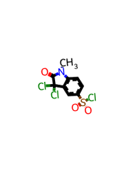 CN1C(=O)C(Cl)(Cl)c2cc(S(=O)(=O)Cl)ccc21